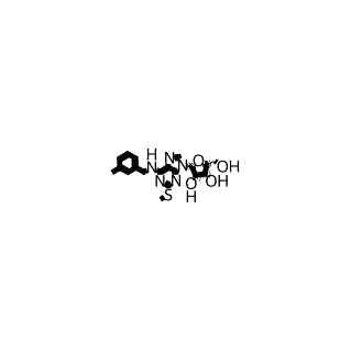 CSc1nc(NCc2cccc(C)c2)c2ncn([C@@H]3O[C@H](CO)[C@@H](O)[C@H]3O)c2n1